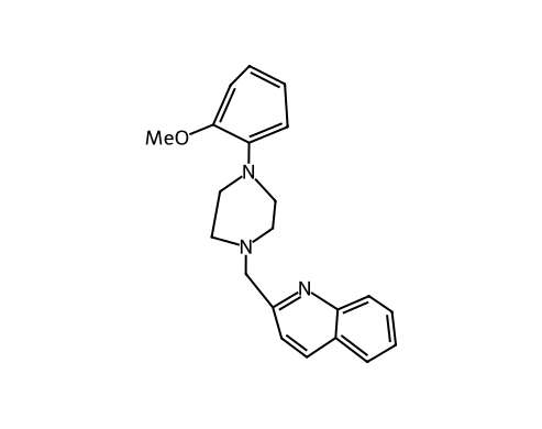 COc1ccccc1N1CCN(Cc2ccc3ccccc3n2)CC1